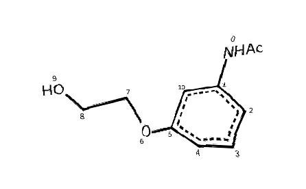 CC(=O)Nc1cccc(OCCO)c1